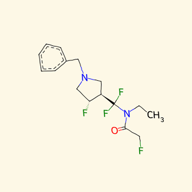 CCN(C(=O)CF)C(F)(F)[C@@H]1CN(Cc2ccccc2)C[C@H]1F